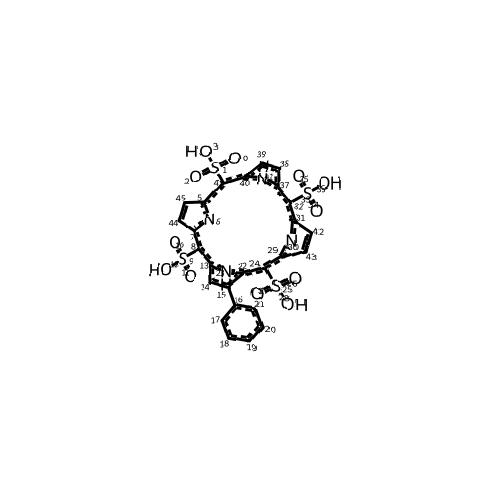 O=S(=O)(O)c1c2nc(c(S(=O)(=O)O)c3cc(-c4ccccc4)c([nH]3)c(S(=O)(=O)O)c3nc(c(S(=O)(=O)O)c4ccc1[nH]4)C=C3)C=C2